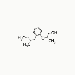 CCC(C)Cc1ccccc1OC(C)CO